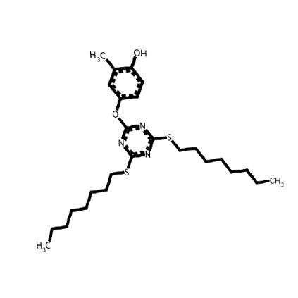 CCCCCCCCSc1nc(Oc2ccc(O)c(C)c2)nc(SCCCCCCCC)n1